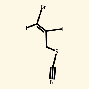 N#CSC/C(I)=C(/Br)I